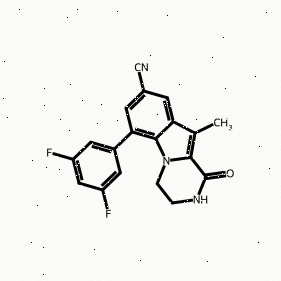 Cc1c2n(c3c(-c4cc(F)cc(F)c4)cc(C#N)cc13)CCNC2=O